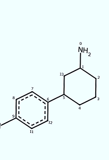 NC1CCCC(c2ccc(Cl)cc2)C1